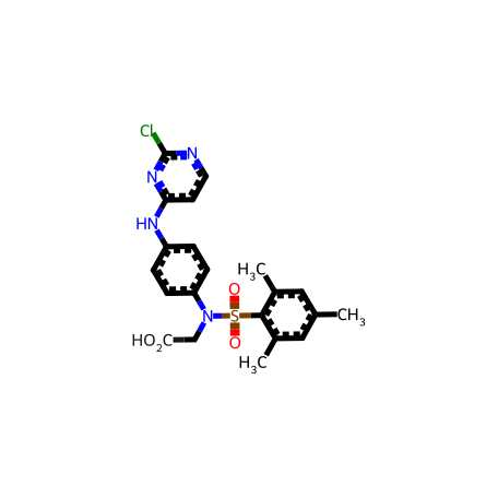 Cc1cc(C)c(S(=O)(=O)N(CC(=O)O)c2ccc(Nc3ccnc(Cl)n3)cc2)c(C)c1